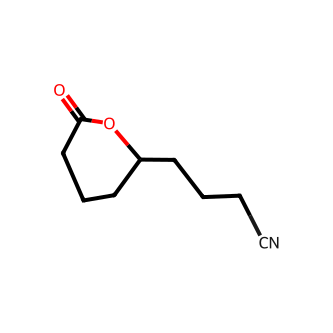 N#CCCCC1CCCC(=O)O1